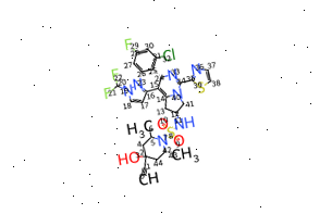 C#CC1(O)CC(C)N(S(=O)(=O)N[C@H]2CC3=C(c4ccn(C(F)F)n4)[C@H](c4ccc(F)cc4Cl)N=C(c4nccs4)N3C2)[C@H](C)C1